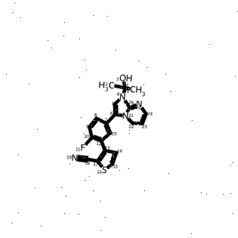 CC(C)(O)N1C=C(c2ccc(F)c(-c3ccsc3C#N)c2)N2CC=CN=C21